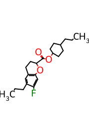 CCCc1cc2c(cc1F)OC(C(=O)OC1CCC(CCC)CC1)CC2